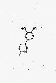 Cc1ccc(-c2ccc(C(C)C)c(O)c2)cn1